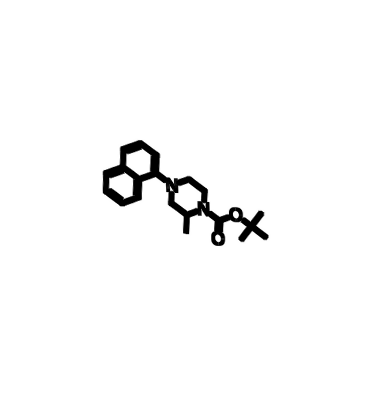 CC1CN(c2cccc3ccccc23)CCN1C(=O)OC(C)(C)C